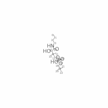 CCCCNC(=O)C(O)C(C)(C)COP(=O)(O)OCC(C)(C)C